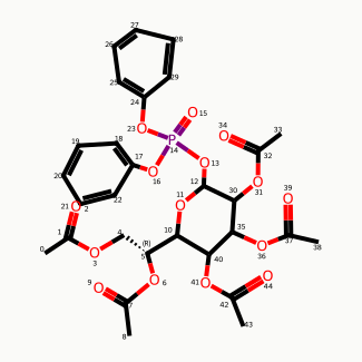 CC(=O)OC[C@@H](OC(C)=O)C1OC(OP(=O)(Oc2ccccc2)Oc2ccccc2)C(OC(C)=O)C(OC(C)=O)C1OC(C)=O